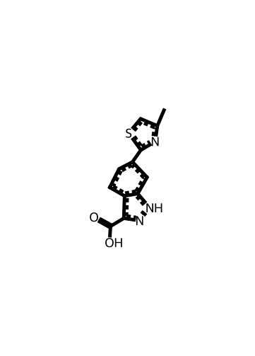 Cc1csc(-c2ccc3c(C(=O)O)n[nH]c3c2)n1